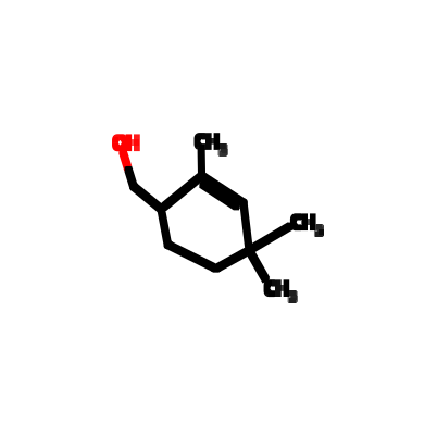 CC1=CC(C)(C)CCC1CO